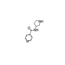 O=C(NC1CCNC1)c1ccncc1